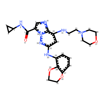 O=C(NC1CC1)c1cnc2c(NCCN3CCOCC3)cc(Nc3cccc4c3OCCO4)nn12